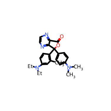 CCN(CC)c1ccc(C2(c3ccc(N(C)C)cc3)OC(=O)c3nccnc32)c(C)c1